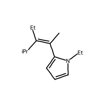 CC/C(=C(\C)c1cccn1CC)C(C)C